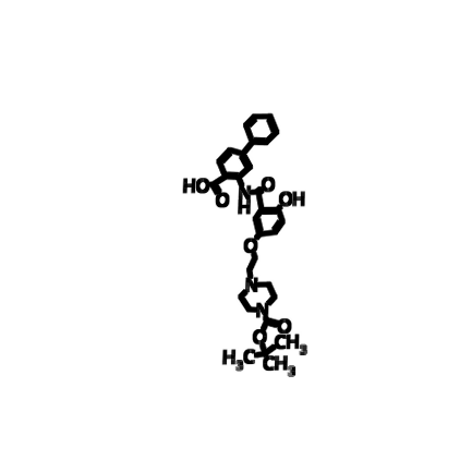 CC(C)(C)OC(=O)N1CCN(CCOc2ccc(O)c(C(=O)Nc3cc(-c4ccccc4)ccc3C(=O)O)c2)CC1